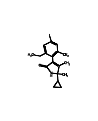 CCc1cc(I)cc(C)c1C1=C(C)C(C)(C2CC2)NC1=O